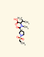 C=CS(=O)(=O)N1CC[C@H](C(=O)N(C)C(C(=O)O)C(C)C)C1